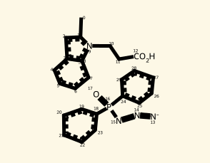 Cc1cc2ccccc2n1CCC(=O)O.[N-]=[N+]=NP(=O)(c1ccccc1)c1ccccc1